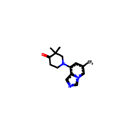 CC1(C)CN(c2cc(C(F)(F)F)cn3cncc23)CCC1=O